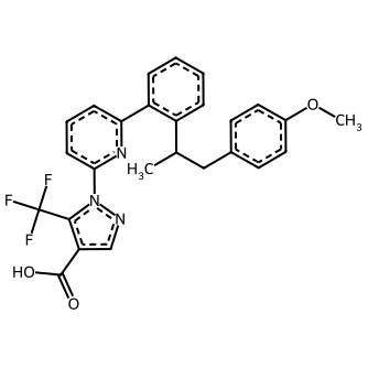 COc1ccc(CC(C)c2ccccc2-c2cccc(-n3ncc(C(=O)O)c3C(F)(F)F)n2)cc1